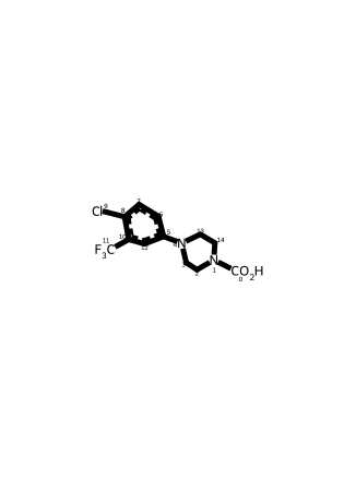 O=C(O)N1CCN(c2ccc(Cl)c(C(F)(F)F)c2)CC1